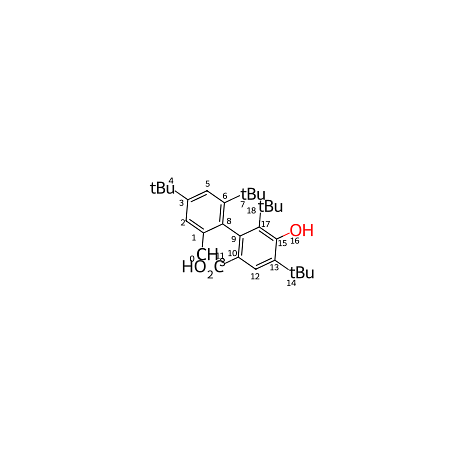 Cc1cc(C(C)(C)C)cc(C(C)(C)C)c1-c1c(C(=O)O)cc(C(C)(C)C)c(O)c1C(C)(C)C